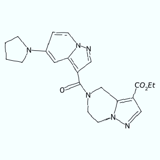 CCOC(=O)c1cnn2c1CN(C(=O)c1cnn3ccc(N4CCCC4)cc13)CC2